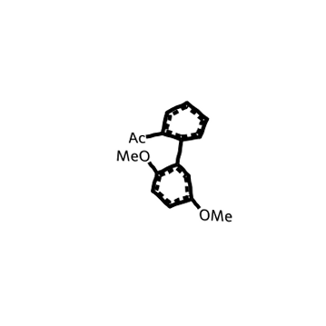 COc1ccc(OC)c(-c2ccccc2C(C)=O)c1